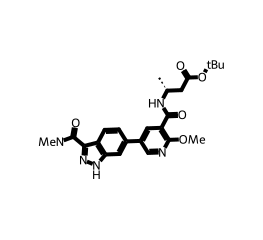 CNC(=O)c1n[nH]c2cc(-c3cnc(OC)c(C(=O)N[C@H](C)CC(=O)OC(C)(C)C)c3)ccc12